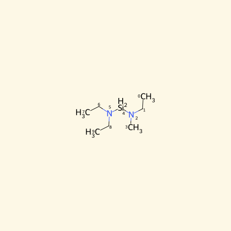 CCN(C)[SiH2]N(CC)CC